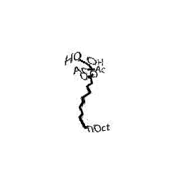 CCCCCCCC/C=C\CCCCCCCC(=O)OC(C(C)=O)(C(C)=O)C(O)CO